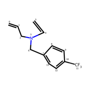 C=CCN(C=C)Cc1ccc(C(F)(F)F)cc1